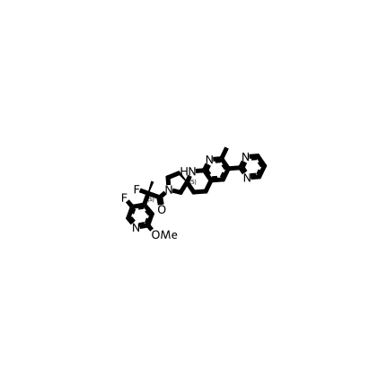 COc1cc([C@](C)(F)C(=O)N2CC[C@@]3(CCc4cc(-c5ncccn5)c(C)nc4N3)C2)c(F)cn1